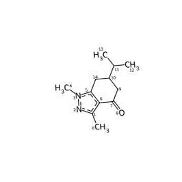 Cc1nn(C)c2c1C(=O)CC(C(C)C)C2